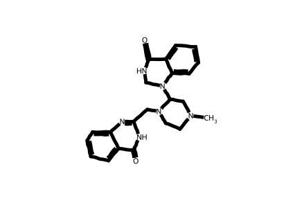 CN1CCN(Cc2nc3ccccc3c(=O)[nH]2)C(N2CNC(=O)c3ccccc32)C1